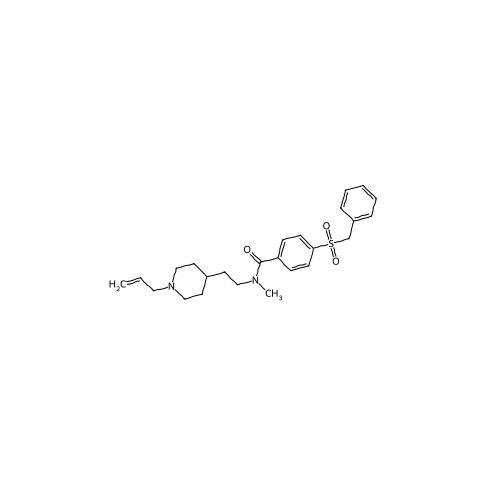 C=CCN1CCC(CCN(C)C(=O)c2ccc(S(=O)(=O)Cc3ccccc3)cc2)CC1